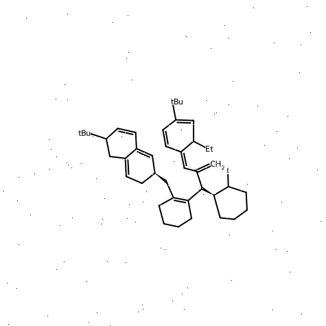 C=C(/C=C1/C=CC(C(C)(C)C)=CC1CC)C(C1=C(C[C@@H]2C=C3C=CC(C(C)(C)C)CC3=CC2)CCCC1)[C@@H]1CCCCC1I